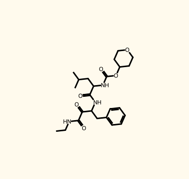 CCNC(=O)C(=O)C(Cc1ccccc1)NC(=O)C(CC(C)C)NC(=O)OC1CCOCC1